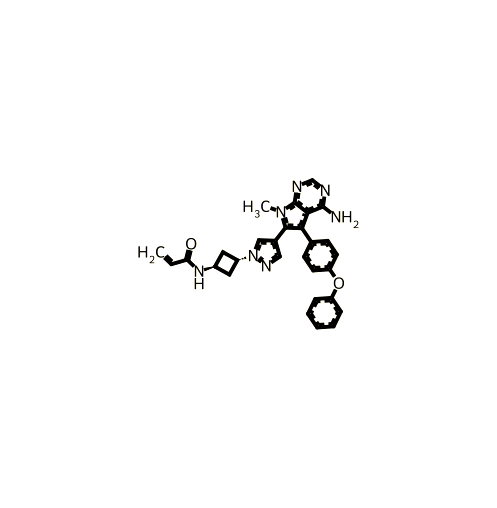 C=CC(=O)N[C@H]1C[C@H](n2cc(-c3c(-c4ccc(Oc5ccccc5)cc4)c4c(N)ncnc4n3C)cn2)C1